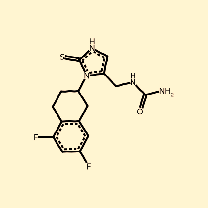 NC(=O)NCc1c[nH]c(=S)n1C1CCc2c(F)cc(F)cc2C1